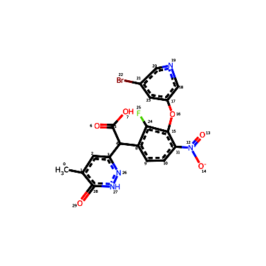 Cc1cc(C(C(=O)O)c2ccc([N+](=O)[O-])c(Oc3cncc(Br)c3)c2F)n[nH]c1=O